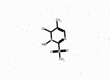 CC1=CN=C(S(C)(=O)=O)N([NH])C1Cl